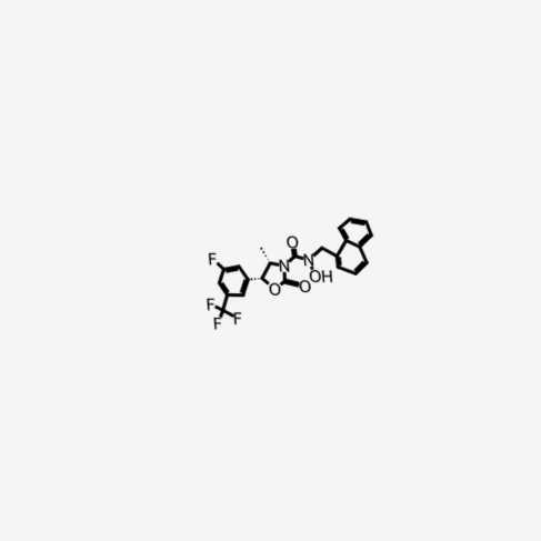 C[C@H]1[C@@H](c2cc(F)cc(C(F)(F)F)c2)OC(=O)N1C(=O)N(O)Cc1cccc2ccccc12